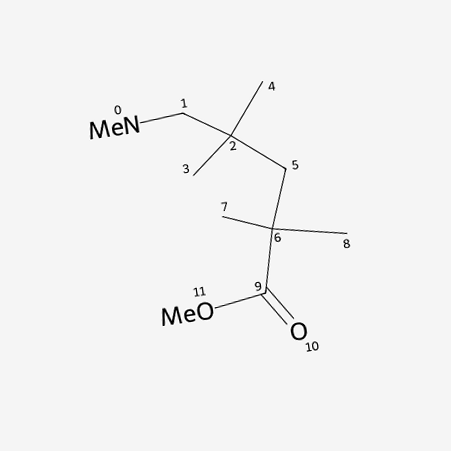 CNCC(C)(C)CC(C)(C)C(=O)OC